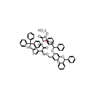 C=C1[C@H](NC(=O)/C(=N\OCc2cc(=O)c(OC(c3ccccc3)c3ccccc3)cn2OC(c2ccccc2)c2ccccc2)c2csc(NC(c3ccccc3)(c3ccccc3)c3ccccc3)n2)C(=O)N1OS(=O)(=O)O